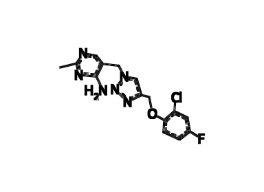 Cc1ncc(Cn2cc(COc3ccc(F)cc3Cl)nn2)c(N)n1